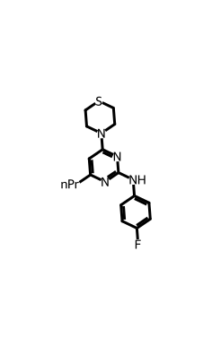 CCCc1cc(N2CCSCC2)nc(Nc2ccc(F)cc2)n1